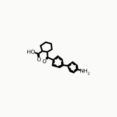 Nc1ccc(-c2ccc(C(=O)C3CCCCC3C(=O)O)cc2)cc1